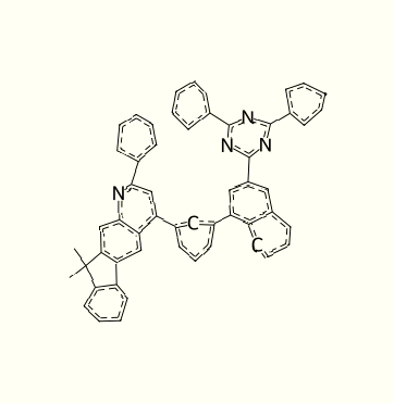 CC1(C)c2ccccc2-c2cc3c(-c4cccc(-c5cc(-c6nc(-c7ccccc7)nc(-c7ccccc7)n6)cc6ccccc56)c4)cc(-c4ccccc4)nc3cc21